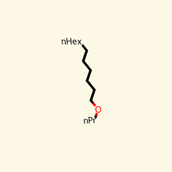 CCCCCCCCCCCCOCCC